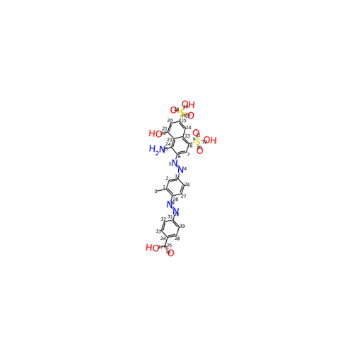 Cc1cc(/N=N/c2cc(S(=O)(=O)O)c3cc(S(=O)(=O)O)cc(O)c3c2N)ccc1/N=N/c1ccc(C(=O)O)cc1